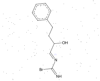 N=C(Br)/N=C/C(O)CCc1ccccc1